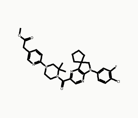 COC(=O)Cc1ccc(N2CCN(C(=O)c3cnc4c(n3)C3(CCCC3)CN4c3ccc(Cl)c(F)c3)C(C)(C)C2)nc1